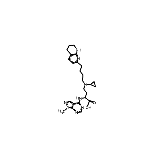 Cn1ncc2c(NC(CCN(CCCCc3ccc4c(n3)NCCC4)C3CC3)C(=O)O)ncnc21